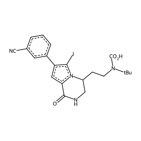 CC(C)(C)N(CCC1CNC(=O)c2cc(-c3cccc(C#N)c3)c(I)n21)C(=O)O